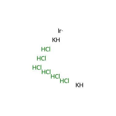 Cl.Cl.Cl.Cl.Cl.Cl.[Ir].[KH].[KH]